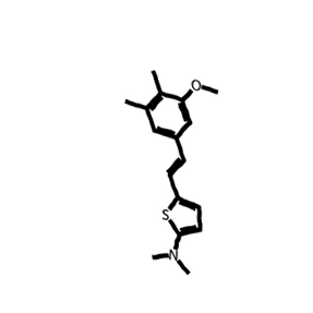 COc1cc(/C=C/c2ccc(N(C)C)s2)cc(C)c1C